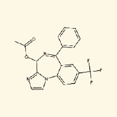 CC(=O)OC1N=C(c2ccccc2)c2cc(C(F)(F)F)ccc2-n2ccnc21